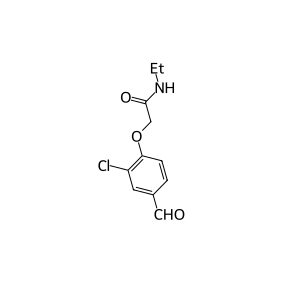 CCNC(=O)COc1ccc(C=O)cc1Cl